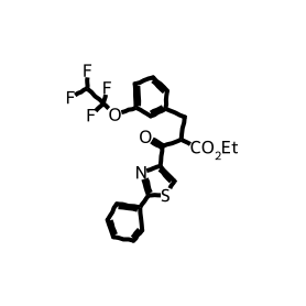 CCOC(=O)C(Cc1cccc(OC(F)(F)C(F)F)c1)C(=O)c1csc(-c2ccccc2)n1